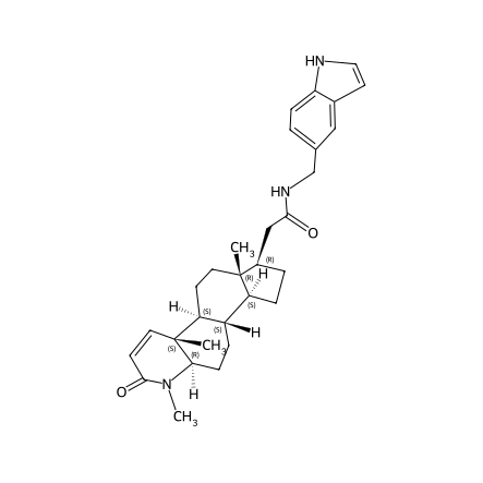 CN1C(=O)C=C[C@]2(C)[C@H]3CC[C@]4(C)[C@@H](CC(=O)NCc5ccc6[nH]ccc6c5)CC[C@H]4[C@@H]3CC[C@@H]12